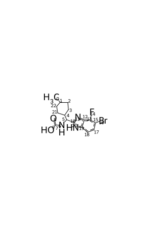 CC1CCC(C(NC(=O)O)c2nc3c(F)c(Br)ccc3[nH]2)CC1